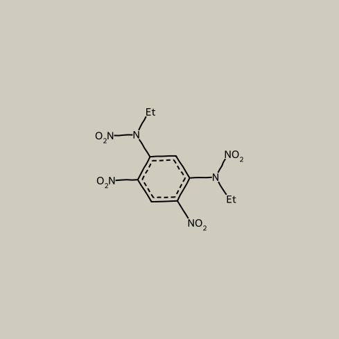 CCN(c1cc(N(CC)[N+](=O)[O-])c([N+](=O)[O-])cc1[N+](=O)[O-])[N+](=O)[O-]